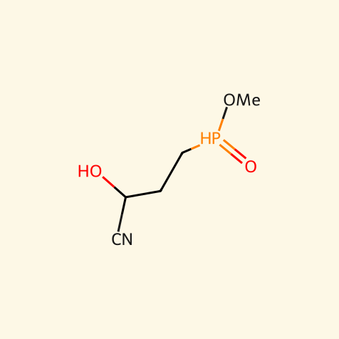 CO[PH](=O)CCC(O)C#N